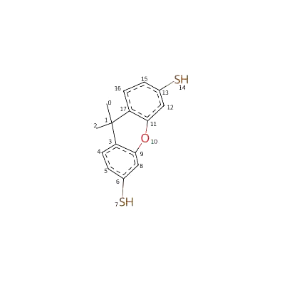 CC1(C)c2ccc(S)cc2Oc2cc(S)ccc21